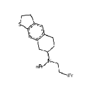 CCCN(CCC(C)C)C1CCc2cc3c(cc2C1)SCC3